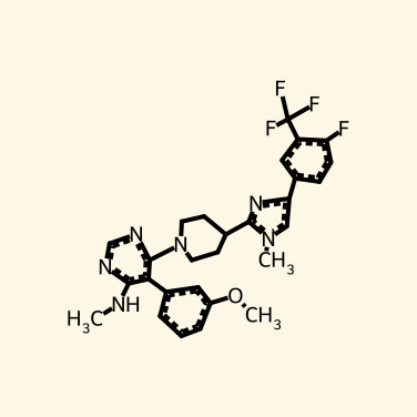 CNc1ncnc(N2CCC(c3nc(-c4ccc(F)c(C(F)(F)F)c4)cn3C)CC2)c1-c1cccc(OC)c1